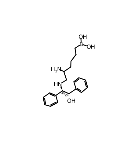 NC(CCCCB(O)O)CN[C@H](c1ccccc1)[C@@H](O)c1ccccc1